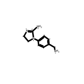 NCc1ccc(N2CCN=C2N)cc1